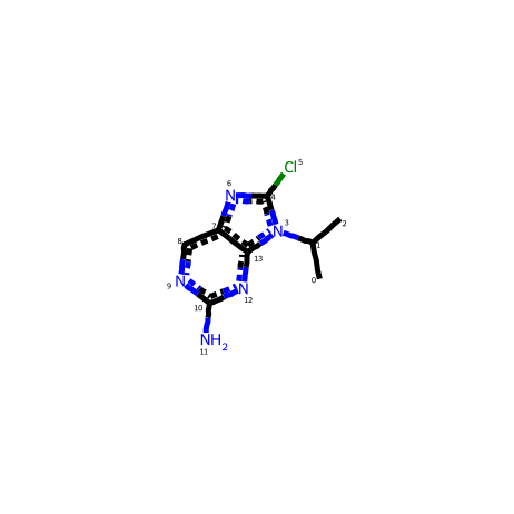 CC(C)n1c(Cl)nc2cnc(N)nc21